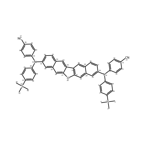 CS(C)(C)c1ccc(N(c2ccc(C#N)cc2)c2ccc3cc4c(cc3c2)oc2cc3cc(N(c5ccc(C#N)cc5)c5ccc(S(C)(C)C)cc5)ccc3cc24)cc1